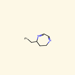 CC(C)CC1CCN=CC=N1